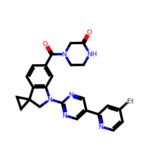 CCc1ccnc(-c2cnc(N3CC4(CC4)c4ccc(C(=O)N5CCNC(=O)C5)cc43)nc2)c1